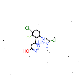 Oc1cc(-c2c(N3C=C(Cl)NN3)ccc(Cl)c2F)ncn1